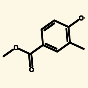 COC(=O)c1ccc([O])c(C)c1